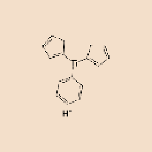 C1=CC[C]([Ti]([C]2=CC=CC2)[c]2ccccc2)=C1.[H-]